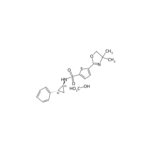 CC1(C)COC(c2ccc(S(=O)(=O)N[C@H]3C[C@@H]3c3ccccc3)s2)=N1.O=C(O)O